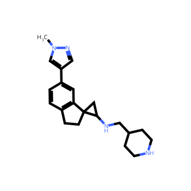 Cn1cc(-c2ccc3c(c2)C2(CC3)CC2NCC2CCNCC2)cn1